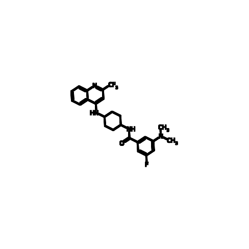 CN(C)c1cc(F)cc(C(=O)NC2CCC(Nc3cc(C(F)(F)F)nc4ccccc34)CC2)c1